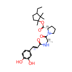 CCC1CCC(C)(OC(=O)[C@@H]2CCCN2C(=O)[C@H](C)NC(=O)/C=C/c2ccc(O)c(O)c2)C1(C)C